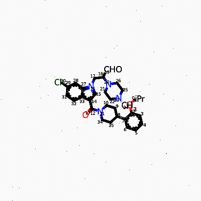 CC(C)Oc1ccccc1C1CCN(C(=O)c2cn(CC(C=O)N3CCN(C)CC3)c3cc(Cl)ccc23)CC1